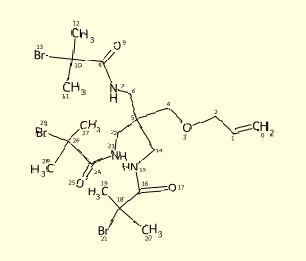 C=CCOCC(CNC(=O)C(C)(C)Br)(CNC(=O)C(C)(C)Br)CNC(=O)C(C)(C)Br